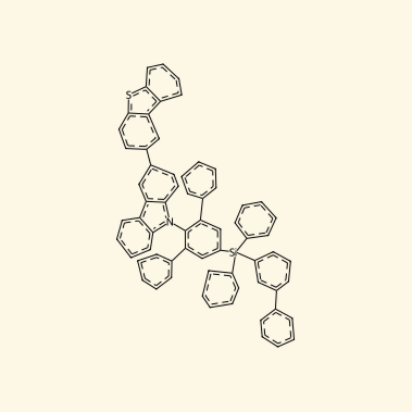 c1ccc(-c2cccc([Si](c3ccccc3)(c3ccccc3)c3cc(-c4ccccc4)c(-n4c5ccccc5c5cc(-c6ccc7sc8ccccc8c7c6)ccc54)c(-c4ccccc4)c3)c2)cc1